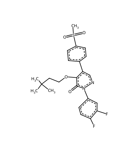 CC(C)(C)CCOc1c(-c2ccc(S(C)(=O)=O)cc2)cnn(-c2ccc(F)c(F)c2)c1=O